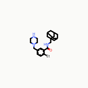 CCc1ccc(CN2CCNCC2)cc1C(=O)NCC12CC3CC(CC(C3)C1)C2